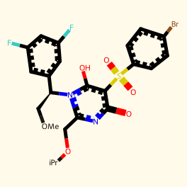 COC[C@@H](c1cc(F)cc(F)c1)n1c(COC(C)C)nc(=O)c(S(=O)(=O)c2ccc(Br)cc2)c1O